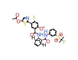 COc1cc(F)c(-c2ncc(OC(C)=O)s2)cc1C(=O)N[C@H]1[C@@H](C(=O)Nc2cccc(S(=O)(=O)C(C)(C)F)c2)[C@@H]2C=C[C@H]1C2